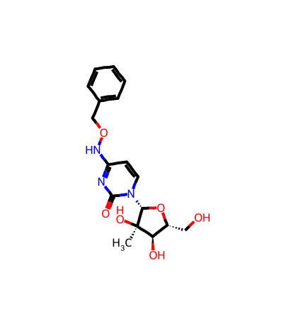 C[C@@]1(O)[C@H](O)[C@@H](CO)O[C@H]1n1ccc(NOCc2ccccc2)nc1=O